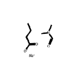 CCCC(=O)[O-].CN(C)C=O.[Na+]